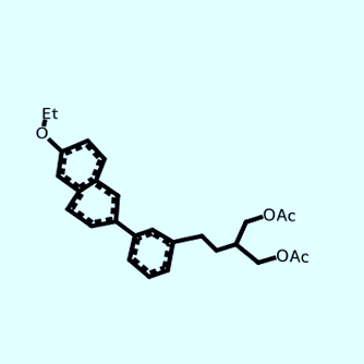 CCOc1ccc2cc(-c3cccc(CCC(COC(C)=O)COC(C)=O)c3)ccc2c1